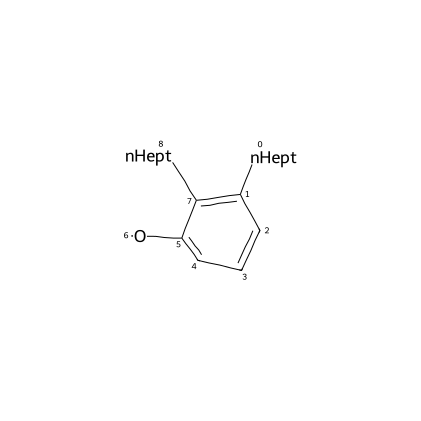 CCCCCCCc1cccc([O])c1CCCCCCC